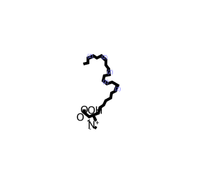 CC/C=C\C/C=C\C/C=C\C/C=C\C/C=C\CCCCCCC(O)(CC(=O)[O-])C[N+](C)(C)C